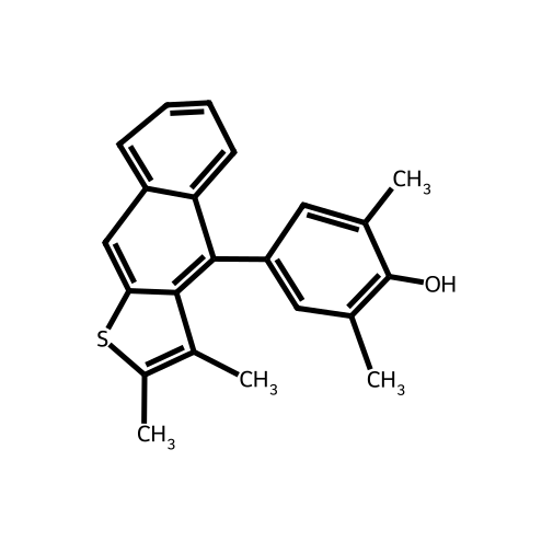 Cc1cc(-c2c3ccccc3cc3sc(C)c(C)c23)cc(C)c1O